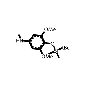 COc1cc(NI)cc(OC)c1O[Si](C)(C)C(C)(C)C